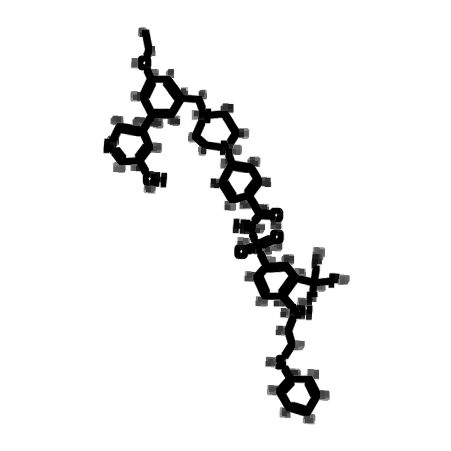 CCOc1cc(CN2CCN(c3ccc(C(=O)NS(=O)(=O)c4ccc(NCCSc5ccccc5)c(C(F)(F)F)c4)cc3)CC2)cc(-c2cncc(O)c2)c1